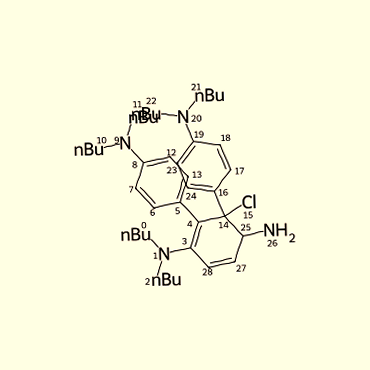 CCCCN(CCCC)C1=C(c2ccc(N(CCCC)CCCC)cc2)C(Cl)(c2ccc(N(CCCC)CCCC)cc2)C(N)C=C1